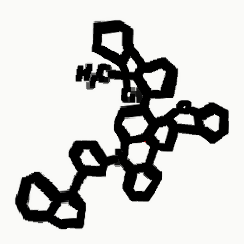 CC1(C)c2ccccc2-c2cccc(-c3ccc(N(c4cccc(-c5cccc6ccccc56)c4)c4ccccc4-c4ccc5oc6ccccc6c5c4)cc3)c21